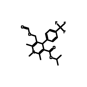 CC1=C(COC=O)C(c2ccc(C(F)(F)F)cc2)C(C(=O)OC(C)C)=C(C)N1C